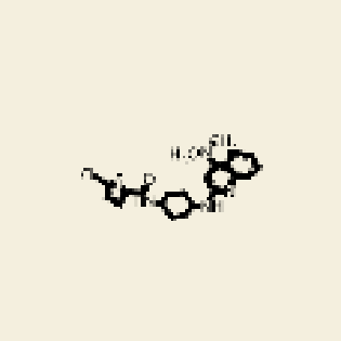 CN(C)c1cc(NC2CCC(NC(=O)c3ccc(Cl)s3)CC2)nc2ccccc12